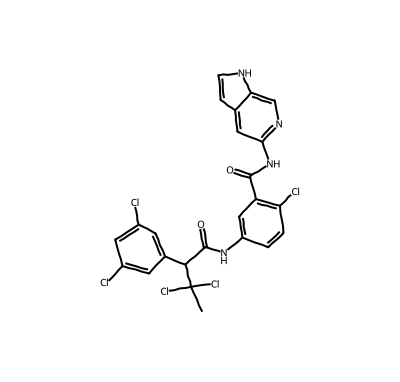 CC(Cl)(Cl)C(C(=O)Nc1ccc(Cl)c(C(=O)Nc2cc3cc[nH]c3cn2)c1)c1cc(Cl)cc(Cl)c1